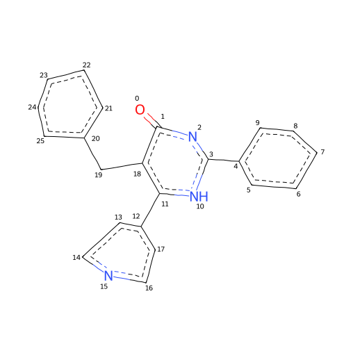 O=c1nc(-c2ccccc2)[nH]c(-c2ccncc2)c1Cc1ccccc1